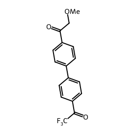 COCC(=O)c1ccc(-c2ccc(C(=O)C(F)(F)F)cc2)cc1